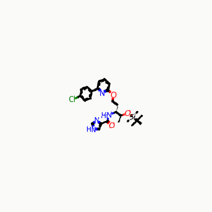 C[C@H](O[Si](C)(C)C(C)(C)C)[C@@H](CCOc1cccc(-c2ccc(Cl)cc2)n1)NC(=O)c1c[nH]cn1